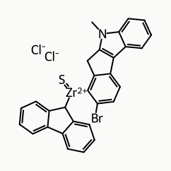 Cn1c2c(c3ccccc31)-c1ccc(Br)[c]([Zr+2](=[S])[CH]3c4ccccc4-c4ccccc43)c1C2.[Cl-].[Cl-]